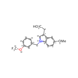 COc1ccc2c(c1)c(CC(=O)O)cn2Cc1cccc(OC(F)(F)F)c1